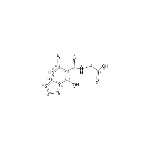 O=C(O)CNC(=O)c1c(O)c2ccsc2[nH]c1=O